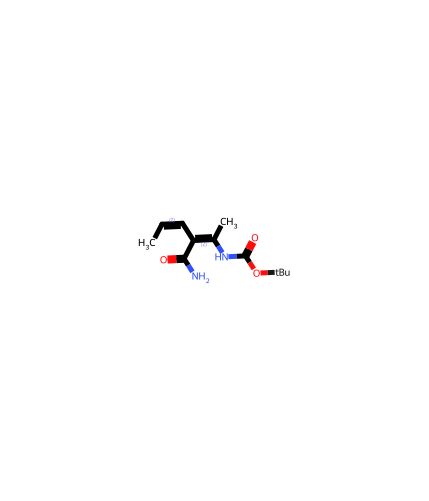 C/C=C\C(C(N)=O)=C(/C)NC(=O)OC(C)(C)C